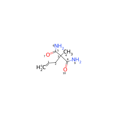 C=CCC(C)(C(N)=O)C(N)=O